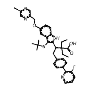 CCC(CC)(C(=O)O)C(Cc1ccc(-c2ncccc2F)cc1)c1[nH]c2ccc(OCc3cnc(C)cn3)cc2c1SC(C)(C)C